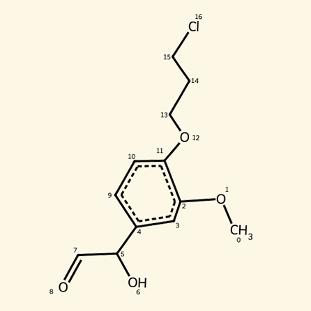 COc1cc(C(O)C=O)ccc1OCCCCl